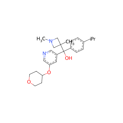 CC(C)c1ccc(C(O)(c2cncc(OC3CCOCC3)c2)C2(C)CN(C)C2)cc1